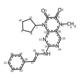 Cn1c(=O)c(=O)n(C2CCCC2)c2nc(N/N=C/c3ccccc3)ncc21